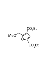 CCOC(=O)c1cc(C(=O)OCC)c(COC)o1